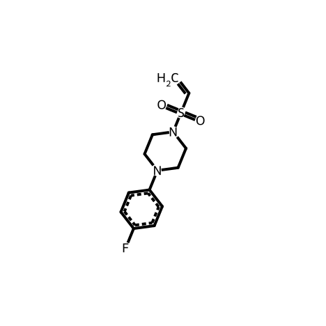 C=CS(=O)(=O)N1CCN(c2ccc(F)cc2)CC1